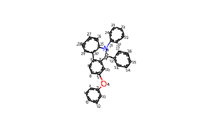 c1ccc(Oc2ccc3c(c2)B(c2ccccc2)N(c2ccccc2)c2ccccc2-3)cc1